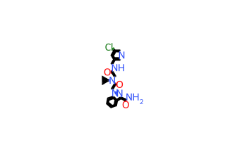 NC(=O)c1nn(CC(=O)N(CC(=O)NCc2cncc(Cl)c2)C2CC2)c2ccccc12